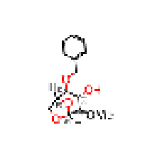 CO[C@H]1[C@@H]2OC[C@@H](O2)[C@@H](OCc2ccccc2)[C@@H]1O